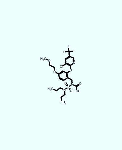 CCCN(CCC)S(=O)(=O)N(Cc1ccc(OCCOC)cc1Oc1ncc(C(F)(F)F)cc1Cl)C(=O)O